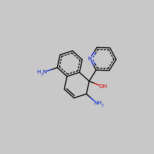 Nc1cccc2c1C=CC(N)C2(O)c1ccccn1